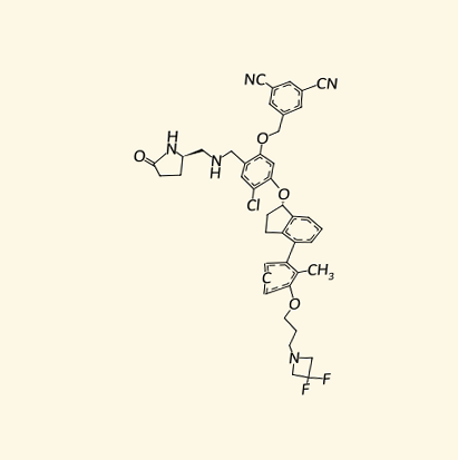 Cc1c(OCCCN2CC(F)(F)C2)cccc1-c1cccc2c1CC[C@@H]2Oc1cc(OCc2cc(C#N)cc(C#N)c2)c(CNC[C@H]2CCC(=O)N2)cc1Cl